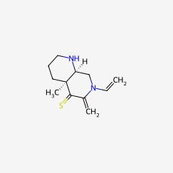 C=CN1C[C@@H]2NCCC[C@]2(C)C(=S)C1=C